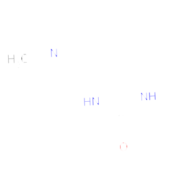 CN1CCCC2(CNC(=O)N2)C1